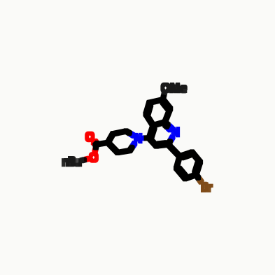 CCCCOC(=O)C1CCN(c2cc(-c3ccc(Br)cc3)nc3cc(OC)ccc23)CC1